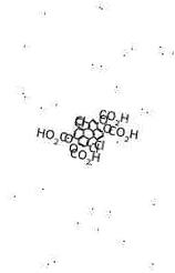 O=C(O)Oc1cc(Cl)c2c3c(Cl)cc(OC(=O)O)c4c(OC(=O)O)cc(Cl)c(c5c(Cl)cc(OC(=O)O)c1c25)c43